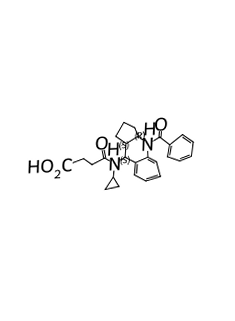 O=C(O)CCC(=O)N(C1CC1)[C@@H]1c2ccccc2N(C(=O)c2ccccc2)[C@@H]2CCC[C@@H]21